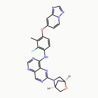 Cc1c(Oc2ccn3ncnc3c2)ccc(Nc2ncnc3cnc(N4C[C@@H]5C[C@H]4CO5)nc23)c1F